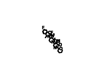 CC(c1ccc(F)cc1C(F)(F)F)n1nnc2c1CCN(c1cnn(C3CCCCO3)c(=O)c1Cl)C2(C)O